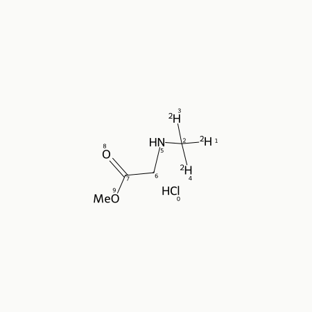 Cl.[2H]C([2H])([2H])NCC(=O)OC